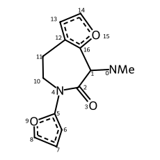 CNC1C(=O)N(c2ccco2)CCc2ccoc21